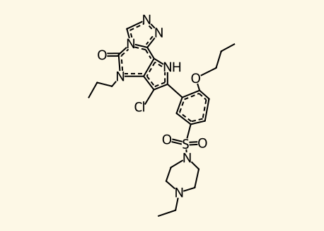 CCCOc1ccc(S(=O)(=O)N2CCN(CC)CC2)cc1-c1[nH]c2c(c1Cl)n(CCC)c(=O)n1cnnc21